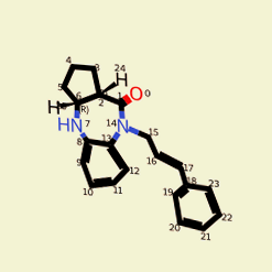 O=C1[C@H]2CCC[C@H]2Nc2ccccc2N1CC=Cc1ccccc1